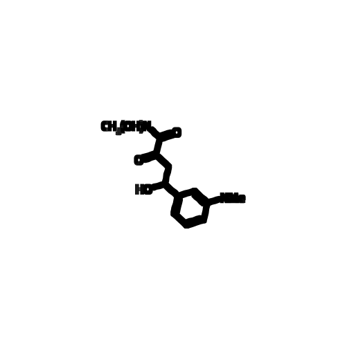 CNc1cccc(C(O)CC(=O)C(=O)N(C)O)c1